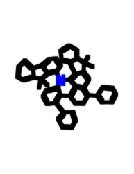 CC1(C)c2ccccc2-c2c(N(c3cccc(-c4ccccc4)c3-c3ccc(-c4ccccc4)cc3)c3cccc4c3C(C)(C)c3ccccc3-4)cccc21